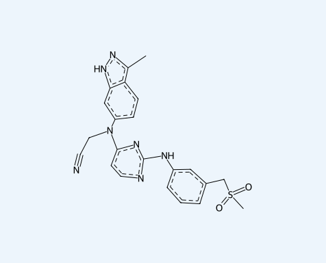 Cc1n[nH]c2cc(N(CC#N)c3ccnc(Nc4cccc(CS(C)(=O)=O)c4)n3)ccc12